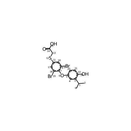 CC(C)c1cc(Oc2c(Br)cc(SCC(=O)O)cc2Br)ccc1O